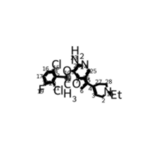 CCN1CC=C(c2coc3c(O[C@H](C)c4c(Cl)ccc(F)c4Cl)c(N)ncc23)CC1